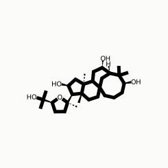 CC(C)(O)[C@@H]1CC[C@](C)([C@H]2[C@@H](O)C[C@@]3(C)C4C[C@H](O)[C@@H]5CC4(CCC[C@H](O)C5(C)C)CC[C@]23C)O1